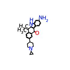 CC1(C)c2ccc(C3CCN(C4CC4)CC3)cc2C(=O)c2c1[nH]c1cc(N)ccc21